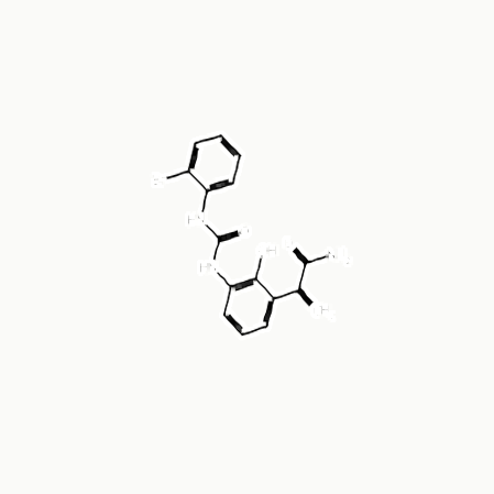 C=C(C(N)=O)c1cccc(NC(=O)Nc2ccccc2Br)c1O